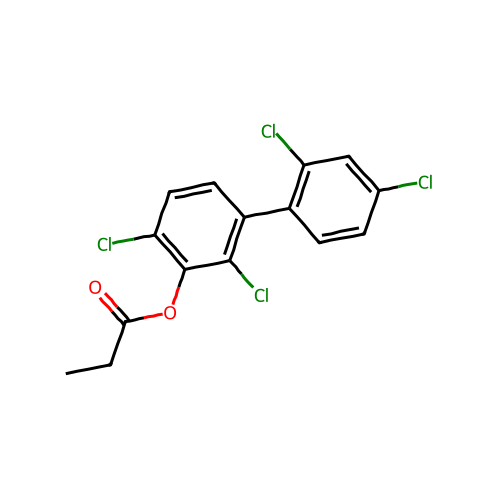 CCC(=O)Oc1c(Cl)ccc(-c2ccc(Cl)cc2Cl)c1Cl